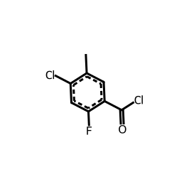 Cc1cc(C(=O)Cl)c(F)cc1Cl